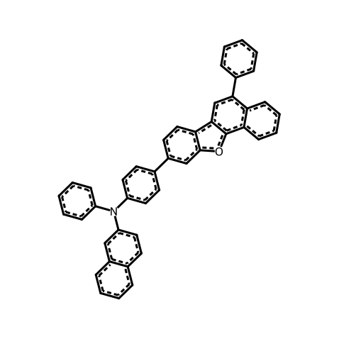 c1ccc(-c2cc3c4ccc(-c5ccc(N(c6ccccc6)c6ccc7ccccc7c6)cc5)cc4oc3c3ccccc23)cc1